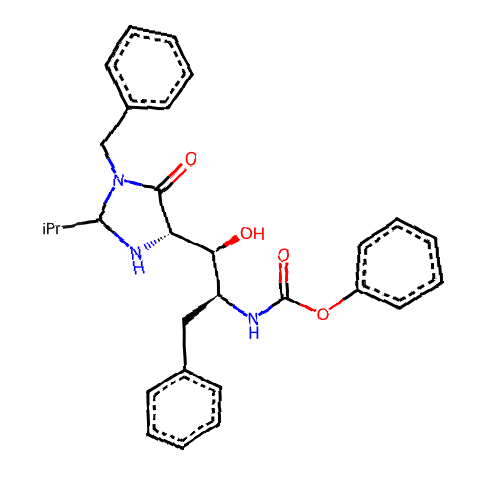 CC(C)C1N[C@@H]([C@@H](O)[C@H](Cc2ccccc2)NC(=O)Oc2ccccc2)C(=O)N1Cc1ccccc1